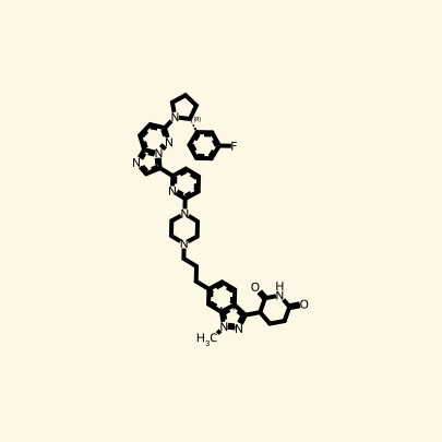 Cn1nc(C2CCC(=O)NC2=O)c2ccc(CCCN3CCN(c4cccc(-c5cnc6ccc(N7CCC[C@@H]7c7cccc(F)c7)nn56)n4)CC3)cc21